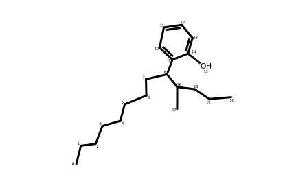 CCCCCCCCC(c1ccccc1O)C(C)CCC